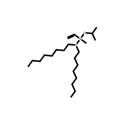 C=C[Si](C)(OC(C)C)N(CCCCCCCC)CCCCCCCC